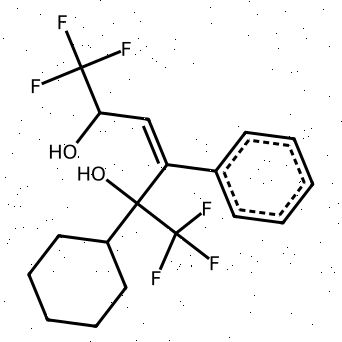 OC(C=C(c1ccccc1)C(O)(C1CCCCC1)C(F)(F)F)C(F)(F)F